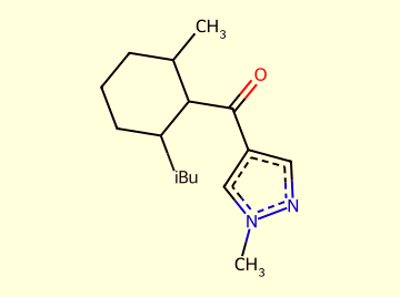 CCC(C)C1CCCC(C)C1C(=O)c1cnn(C)c1